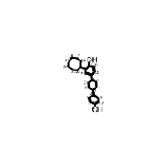 Oc1ccc(C2C=CC(c3ccc(O)c(C4CCCCCCC4)c3)C=C2)cc1